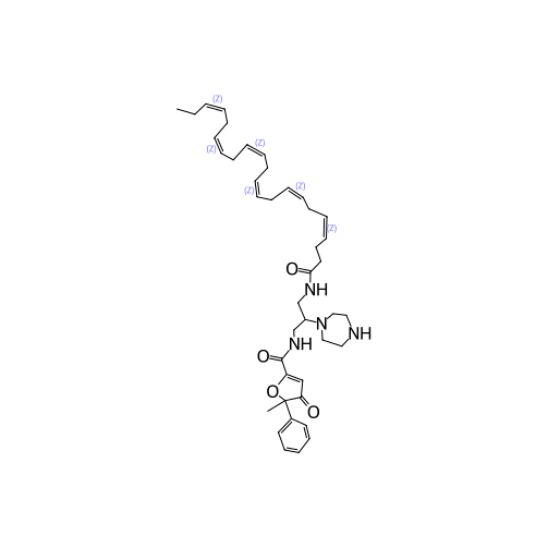 CC/C=C\C/C=C\C/C=C\C/C=C\C/C=C\C/C=C\CCC(=O)NCC(CNC(=O)C1=CC(=O)C(C)(c2ccccc2)O1)N1CCNCC1